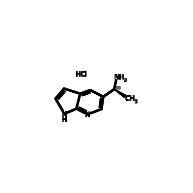 C[C@H](N)c1cnc2[nH]ccc2c1.Cl